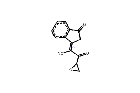 N#C/C(C(=O)C1CO1)=C1/CC(=O)c2ccccc21